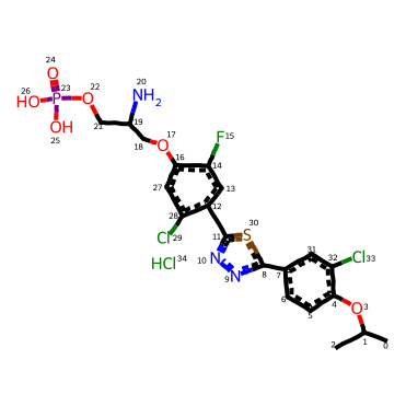 CC(C)Oc1ccc(-c2nnc(-c3cc(F)c(OCC(N)COP(=O)(O)O)cc3Cl)s2)cc1Cl.Cl